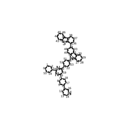 c1ccc(-c2nc(-c3ccc(-c4cccnc4)cc3)cc(-c3ccc(-n4c5ccccc5c5cc(-c6cccc7c6sc6ccccc67)ccc54)cc3)n2)cc1